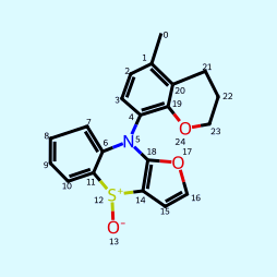 Cc1ccc(N2c3ccccc3[S+]([O-])c3ccoc32)c2c1CCCO2